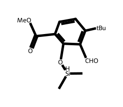 COC(=O)c1ccc(C(C)(C)C)c(C=O)c1O[SiH](C)C